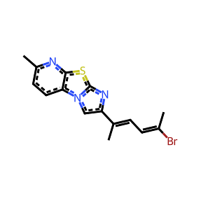 C/C(Br)=C\C=C(/C)c1cn2c(n1)sc1nc(C)ccc12